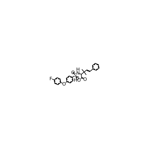 CC(C)(C=Cc1ccccc1)C(NS(=O)(=O)c1ccc(Oc2ccc(F)cc2)cc1)C(=O)O